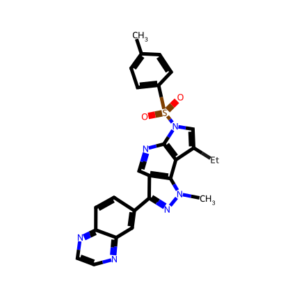 CCc1cn(S(=O)(=O)c2ccc(C)cc2)c2ncc3c(-c4ccc5nccnc5c4)nn(C)c3c12